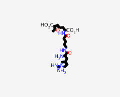 Cc1oc(CC(NC(=O)CCCCNC(=O)C(N)CC2=CCN(C(=N)N)C2)C(=O)O)cc1C(=O)O